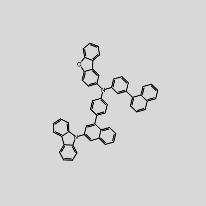 c1cc(-c2cccc3ccccc23)cc(N(c2ccc(-c3cc(-n4c5ccccc5c5ccccc54)cc4ccccc34)cc2)c2ccc3oc4ccccc4c3c2)c1